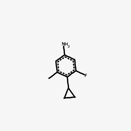 Cc1cc(N)cc(F)c1C1CC1